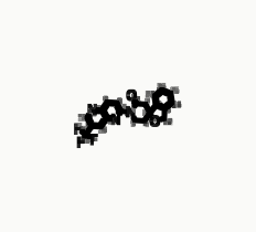 O=C1CC2(CCN1c1ccc3ncc(C(F)(F)F)cc3n1)OCc1ccccc12